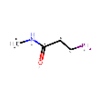 CNC(=O)CCP